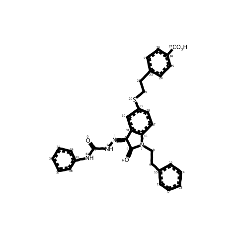 O=C(NN=C1C(=O)N(CCc2ccccc2)c2ccc(SCCc3ccc(C(=O)O)cc3)cc21)Nc1ccccc1